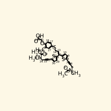 CC(=O)N(C)CC#Cc1ccc(C(=CCSc2ccc(OCC(=O)O)c(C)c2)c2ccc(C#CCN(C)C(C)=O)s2)s1